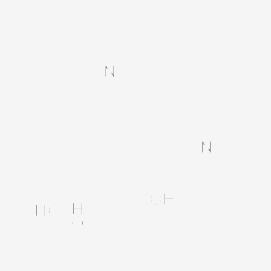 CCC(CO)(CO)CO.CN(C)CCCN(C)C